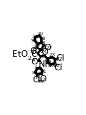 CCOC(=O)[C@H]1[C@H](C(=O)Nc2ccc3c(c2)OCO3)C(c2ccc(Cl)c(Cl)c2)OC12C(=O)c1ccccc1C2=O